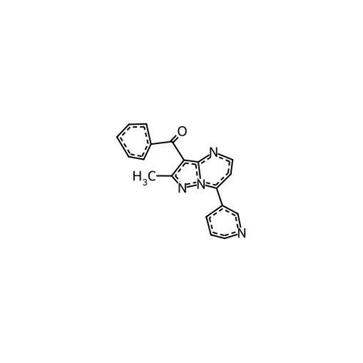 Cc1nn2c(-c3cccnc3)ccnc2c1C(=O)c1ccccc1